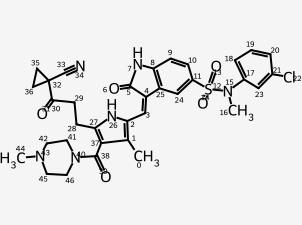 Cc1c(/C=C2\C(=O)Nc3ccc(S(=O)(=O)N(C)c4cccc(Cl)c4)cc32)[nH]c(CCC(=O)C2(C#N)CC2)c1C(=O)N1CCN(C)CC1